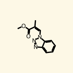 COC(=O)C(C)=Cn1nnc2ccccc21